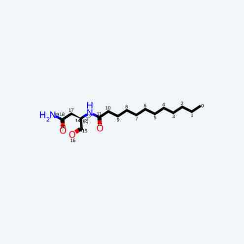 CCCCCCCCCCCC(=O)N[C@@H]([C]=O)CC(N)=O